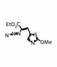 CCOC(=O)/C(=C/c1cnc(OC)s1)N=[N+]=[N-]